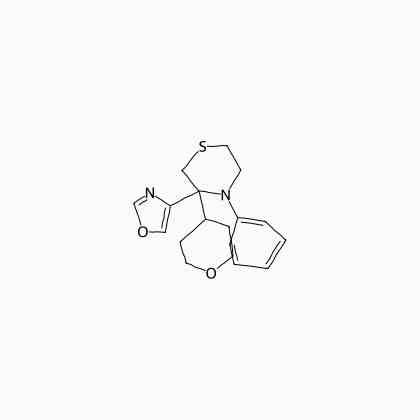 c1ccc(N2CCSCC2(c2cocn2)C2CCOCC2)cc1